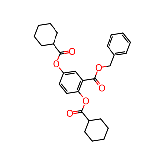 O=C(OCc1ccccc1)c1cc(OC(=O)C2CCCCC2)ccc1OC(=O)C1CCCCC1